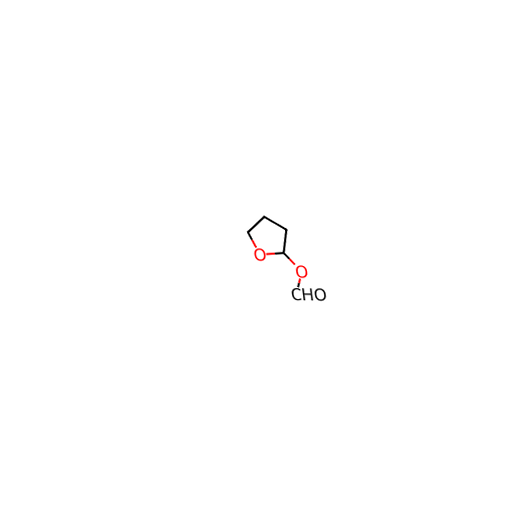 O=COC1CCCO1